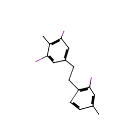 Cc1ccc(CCc2cc(I)c(C)c(I)c2)c(I)c1